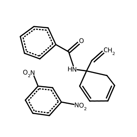 C=CC1(NC(=O)c2ccccc2)C=CC=CC1.O=[N+]([O-])c1cccc([N+](=O)[O-])c1